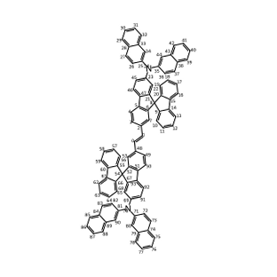 C(=C\c1ccc2c(c1)C1(c3ccccc3-c3ccccc31)c1cc(N(c3ccc4ccccc4c3)c3ccc4ccccc4c3)ccc1-2)/c1ccc2c(c1)C1(c3ccccc3-c3ccccc31)c1cc(N(c3ccc4ccccc4c3)c3ccc4ccccc4c3)ccc1-2